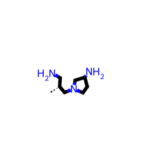 C[C@H](CN)CN1CCC(N)C1